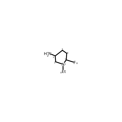 CCN1CC(N)CCC1F